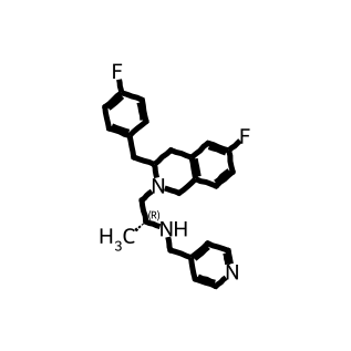 C[C@H](CN1Cc2ccc(F)cc2CC1Cc1ccc(F)cc1)NCc1ccncc1